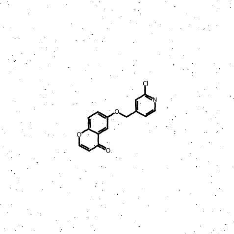 O=c1ccoc2ccc(OCc3ccnc(Cl)c3)cc12